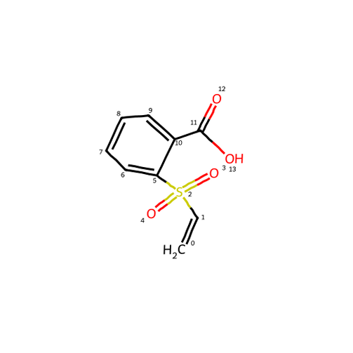 C=CS(=O)(=O)c1ccccc1C(=O)O